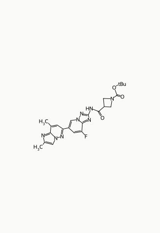 Cc1cn2nc(-c3cc(F)c4nc(NC(=O)C5CN(C(=O)OC(C)(C)C)C5)nn4c3)cc(C)c2n1